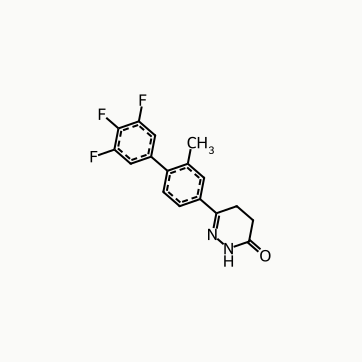 Cc1cc(C2=NNC(=O)CC2)ccc1-c1cc(F)c(F)c(F)c1